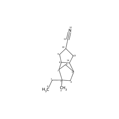 CCC1(C)CC2CC1C1CC(C#N)CC21